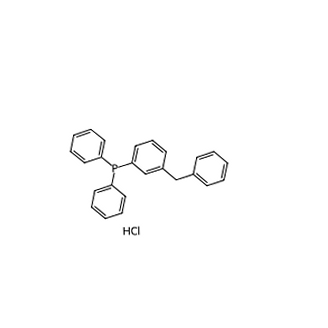 Cl.c1ccc(Cc2cccc(P(c3ccccc3)c3ccccc3)c2)cc1